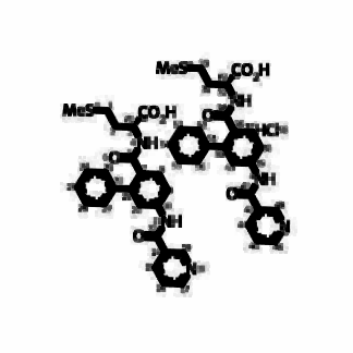 CSCC[C@H](NC(=O)c1ccc(NC(=O)c2cccnc2)cc1-c1ccccc1)C(=O)O.CSCC[C@H](NC(=O)c1ccc(NC(=O)c2cccnc2)cc1-c1ccccc1)C(=O)O.Cl